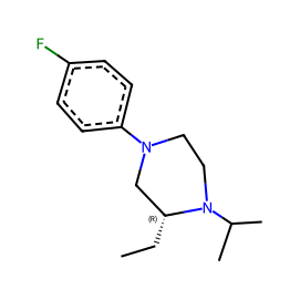 CC[C@@H]1CN(c2ccc(F)cc2)CCN1C(C)C